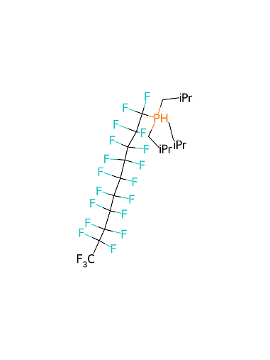 CC(C)C[PH](CC(C)C)(CC(C)C)C(F)(F)C(F)(F)C(F)(F)C(F)(F)C(F)(F)C(F)(F)C(F)(F)C(F)(F)C(F)(F)C(F)(F)F